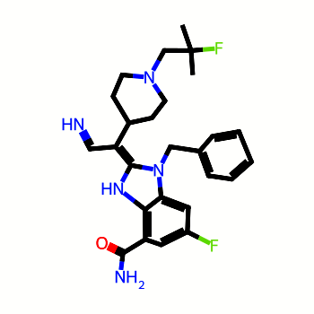 CC(C)(F)CN1CCC(/C(C=N)=C2/Nc3c(C(N)=O)cc(F)cc3N2Cc2ccccc2)CC1